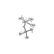 O[PH](O)(O)CC(Br)(Br)Br